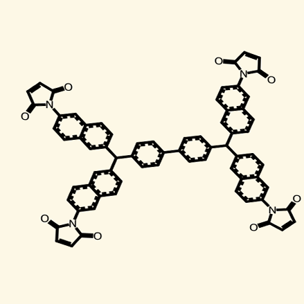 O=C1C=CC(=O)N1c1ccc2cc(C(c3ccc(-c4ccc(C(c5ccc6cc(N7C(=O)C=CC7=O)ccc6c5)c5ccc6cc(N7C(=O)C=CC7=O)ccc6c5)cc4)cc3)c3ccc4cc(N5C(=O)C=CC5=O)ccc4c3)ccc2c1